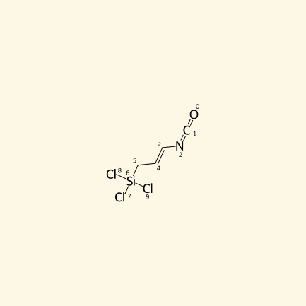 O=C=NC=CC[Si](Cl)(Cl)Cl